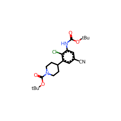 CC(C)(C)OC(=O)Nc1cc(C#N)cc(C2CCN(C(=O)OC(C)(C)C)CC2)c1Cl